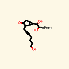 CCCCCC(O)C(O)C1C2CC(=O)C(CC#CCCCCO)C21